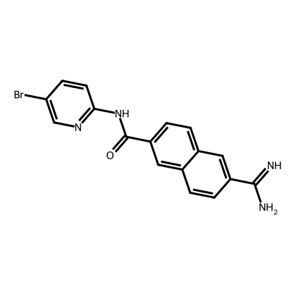 N=C(N)c1ccc2cc(C(=O)Nc3ccc(Br)cn3)ccc2c1